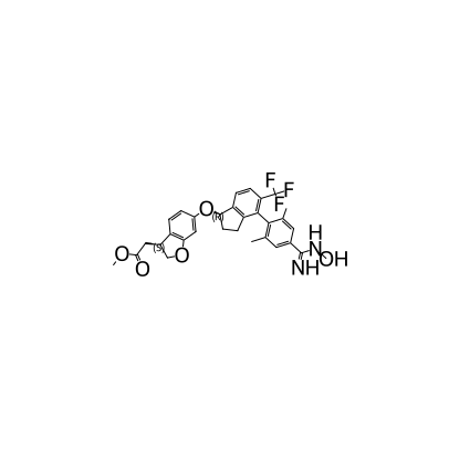 COC(=O)C[C@@H]1COc2cc(O[C@@H]3CCc4c3ccc(C(F)(F)F)c4-c3c(C)cc(C(=N)NO)cc3C)ccc21